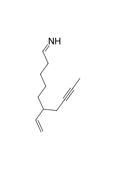 C=CC(CC#CC)CCCCC=N